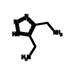 NCc1nn[nH]c1CN